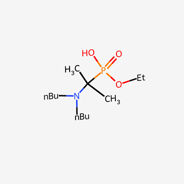 CCCCN(CCCC)C(C)(C)P(=O)(O)OCC